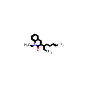 CC=CCCC(CC)c1cc2ccccc2n(CC)c1=O